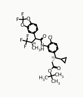 C[C@H](C(C(=O)Nc1cc([C@@H](CC(=O)OC(C)(C)C)C2CC2)ccc1Cl)c1ccc2c(c1)OC(F)(F)O2)C(F)(F)F